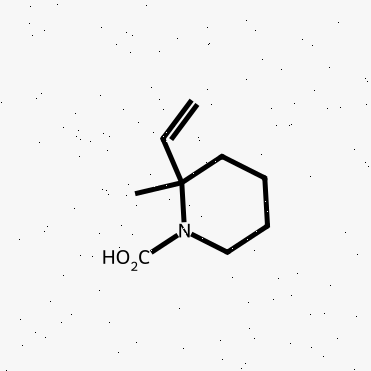 C=CC1(C)CCCCN1C(=O)O